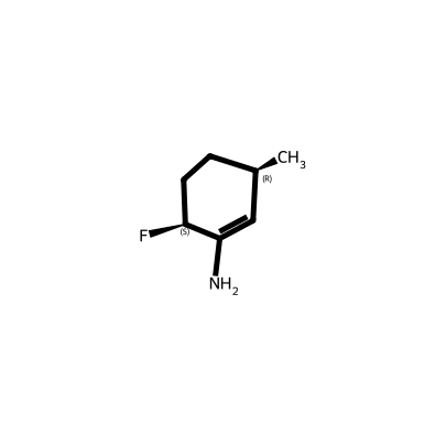 C[C@H]1C=C(N)[C@@H](F)CC1